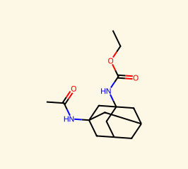 CCOC(=O)NC12CC3CC(CC(NC(C)=O)(C3)C1)C2